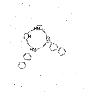 C1=Cc2cc3ccc(cc4nc(cc5ccc(cc1n2)[nH]5)C=C4)[nH]3.c1ccccc1.c1ccccc1.c1ccccc1.c1ccccc1